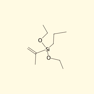 C=C(C)[Si](CCC)(OCC)OCC